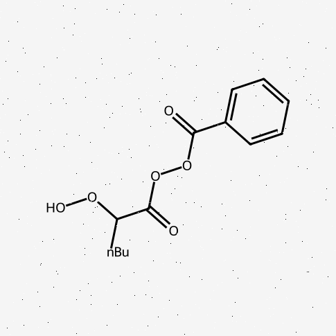 CCCCC(OO)C(=O)OOC(=O)c1ccccc1